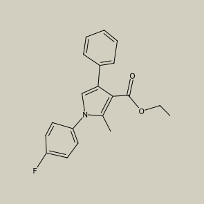 CCOC(=O)c1c(-c2ccccc2)cn(-c2ccc(F)cc2)c1C